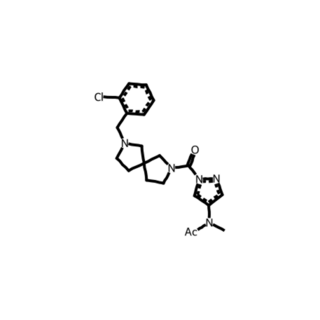 CC(=O)N(C)c1cnn(C(=O)N2CCC3(CCN(Cc4ccccc4Cl)C3)C2)c1